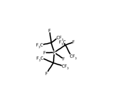 FC(F)(F)C(F)(C(F)(F)F)P(F)(F)(C(F)(C(F)(F)F)C(F)(F)F)C(F)(C(F)(F)F)C(F)(F)F